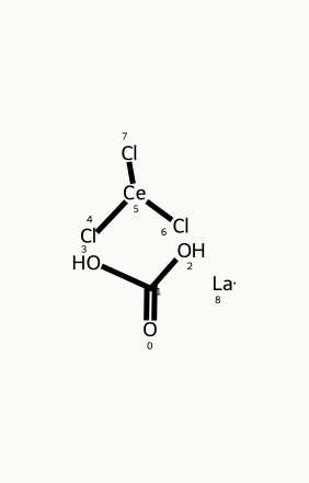 O=C(O)O.[Cl][Ce]([Cl])[Cl].[La]